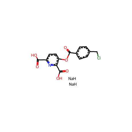 O=C(Oc1ccc(C(=O)O)nc1C(=O)O)c1ccc(CCl)cc1.[NaH].[NaH]